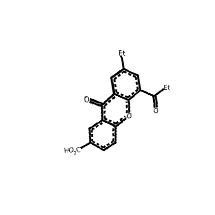 CCC(=O)c1cc(CC)cc2c(=O)c3cc(C(=O)O)ccc3oc12